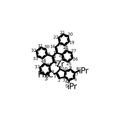 CC1=Cc2c(C(C)C)cc(C(C)C)cc2[CH]1[Zr][C](=C(C(=Cc1ccccc1)c1ccccc1)c1ccccc1)c1ccccc1